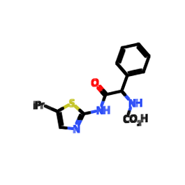 CC(C)c1cnc(NC(=O)C(NC(=O)O)c2ccccc2)s1